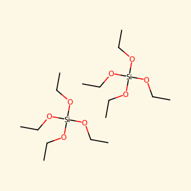 CCO[Si](OCC)(OCC)OCC.CCO[Si](OCC)(OCC)OCC